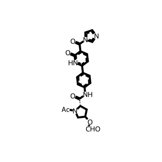 CC(=O)N1CC(OC=O)C[C@H]1C(=O)Nc1ccc(-c2ccc(C(=O)n3ccnc3)c(=O)[nH]2)cc1